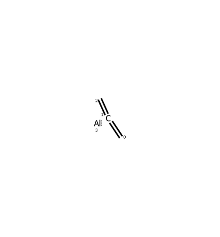 C=C=C.[Al]